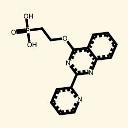 O=P(O)(O)CCOc1nc(-c2ccccn2)nc2ccccc12